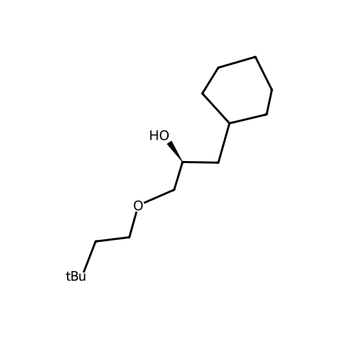 CC(C)(C)CCOC[C@@H](O)CC1CCCCC1